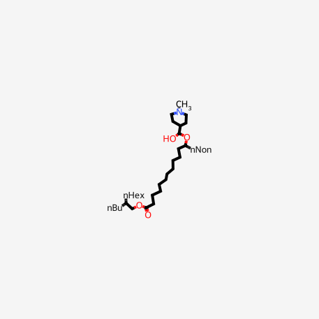 CCCCCCCCCC(CCCCCCCCCCC(=O)OCC(CCCC)CCCCCC)OC(O)C1CCN(C)CC1